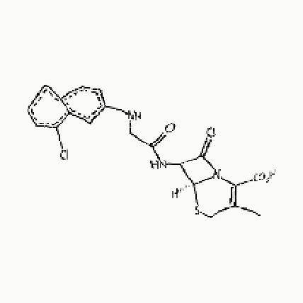 CC1=C(C(=O)O)N2C(=O)C(NC(=O)CNc3ccc4cccc(Cl)c4c3)[C@@H]2SC1